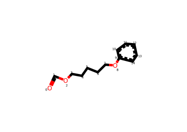 O=COCCCCCOc1ccccc1